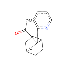 COC(=O)C1(c2ccccn2)CC2CCC1CC2